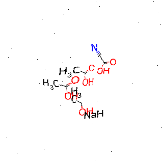 CC(=O)O.CC(=O)O.CCO.N#CC(=O)O.[NaH]